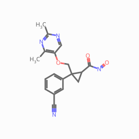 Cc1ncc(OCC2(c3cccc(C#N)c3)CC2C(=O)N=O)c(C)n1